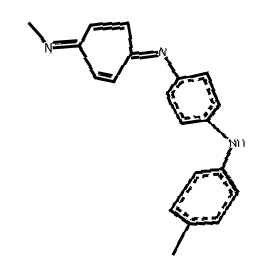 CN=C1C=CC(=Nc2ccc(Nc3ccc(C)cc3)cc2)C=C1